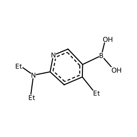 CCc1cc(N(CC)CC)ncc1B(O)O